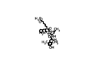 CCCC[C@@H](NC(=O)[C@@H](N)Cc1c(C)cc(O)cc1C)C(=O)NCC(=O)N(CCCCCC(=O)OC)[C@@H](CC1CCCCC1)C(N)=O